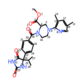 COC(=O)C1CN(c2ncc(C)cc2C)CCN1C(=O)c1ccc(C2(C(C)C)NC(=O)NC2=O)cc1